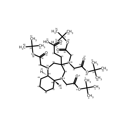 CC(C)(C)OC(=O)CN1CC(CCC(=O)O)(N(CC(=O)OC(C)(C)C)CC(=O)OC(C)(C)C)CN(CC(=O)OC(C)(C)C)[C@@H]2CCCC[C@H]21